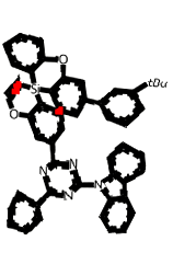 CC(C)(C)c1cccc(-c2ccc3c(c2)Oc2ccccc2[Si]32c3ccccc3Oc3cc(-c4nc(-c5ccccc5)nc(-n5c6ccccc6c6ccccc65)n4)ccc32)c1